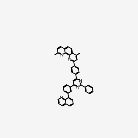 Cc1ccc2ccc3c(C)cc(-c4ccc(-c5cc(-c6cccc(-c7cccc8cccnc78)c6)nc(-c6ccccc6)n5)cc4)nc3c2n1